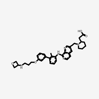 Cc1c(Nc2nccc3cc(CN4CCCCC4CC(=O)O)cnc23)cccc1-c1cccc(OCCCNC2COC2)c1